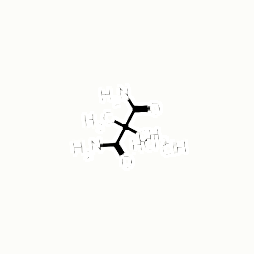 CC(C)(C(N)=O)C(N)=O.Cl.Cl